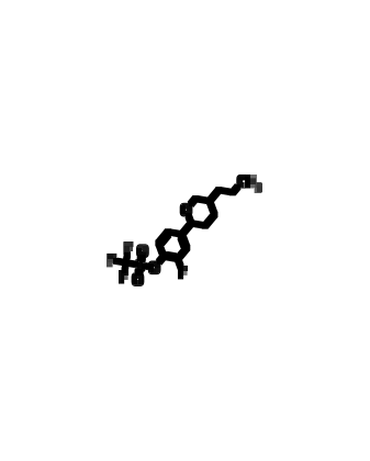 CCCC1CCC(c2ccc(OS(=O)(=O)C(F)(F)F)c(F)c2)OC1